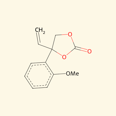 C=CC1(c2ccccc2OC)COC(=O)O1